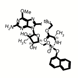 COc1nc(N)nc2c1nc(I)n2C1O[C@H](CO[P@@](=O)(N[C@@H](C)C(=O)OCC(C)(C)C)Oc2cccc3ccccc23)[C@@H](O)[C@@]1(C)O